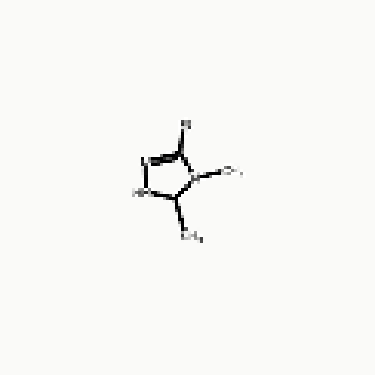 CCC1=NNC(C)N1C